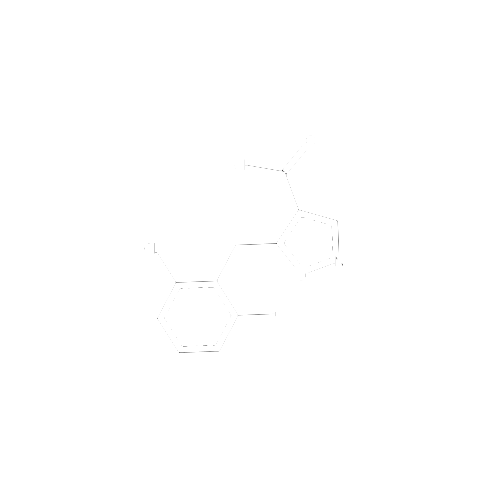 O=C(Cl)c1cnoc1Cc1c(Cl)cccc1Cl